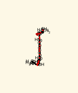 C=C(OC)c1cccc(C(=O)/N=c2\[nH]c3ccccc3n2CCCCCNC(=O)CCOCCOCCOCCOCCOCCOCCNC(=O)c2ccc(/N=N/c3cc(CCNC(=O)OC(C)(C)C)ccc3O)cc2)c1